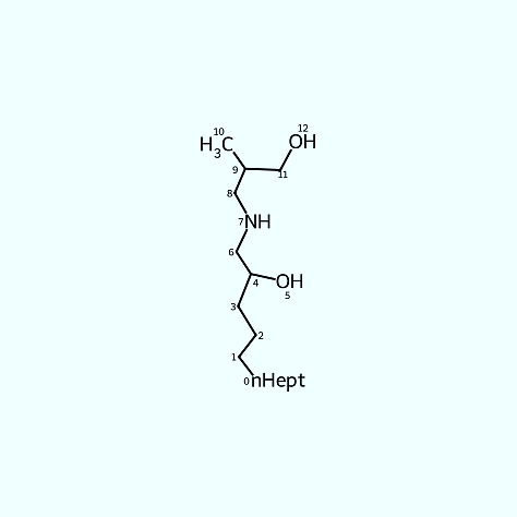 CCCCCCCCCCC(O)CNCC(C)CO